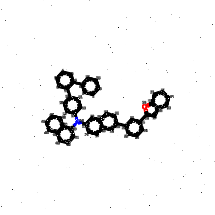 c1ccc(-c2ccccc2-c2ccc(N(c3ccc4cc(-c5cccc(-c6cc7ccccc7o6)c5)ccc4c3)c3cccc4ccccc34)cc2)cc1